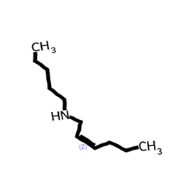 CCC/C=C\CNCCCCC